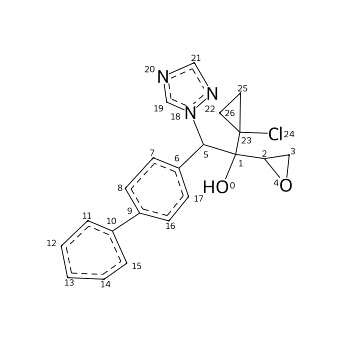 OC(C1CO1)(C(c1ccc(-c2ccccc2)cc1)n1cncn1)C1(Cl)CC1